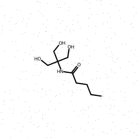 [CH2]CCCC(=O)NC(CO)(CO)CO